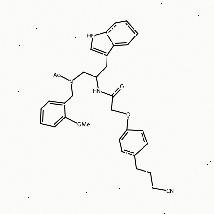 COc1ccccc1CN(CC(Cc1c[nH]c2ccccc12)NC(=O)COc1ccc(CCCC#N)cc1)C(C)=O